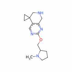 CN1CCCC1COc1ncc2c(n1)CNCC21CC1